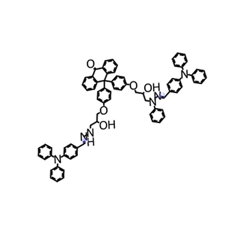 O=C1c2ccccc2C(c2ccc(OCC(O)CN/N=C/c3ccc(N(c4ccccc4)c4ccccc4)cc3)cc2)(c2ccc(OCC(O)CN(/N=C/c3ccc(N(c4ccccc4)c4ccccc4)cc3)c3ccccc3)cc2)c2ccccc21